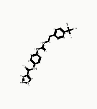 O=C(Nc1ccc(NC(=S)NCCc2ccc(C(F)(F)F)cc2)cc1)c1csnn1